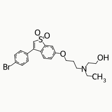 CCN(CCO)CCCOc1ccc2c(c1)S(=O)(=O)C=C2c1ccc(Br)cc1